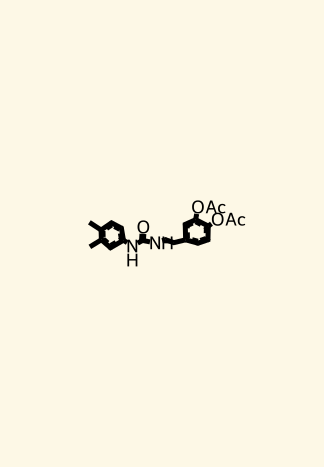 CC(=O)Oc1ccc(CCNC(=O)Nc2ccc(C)c(C)c2)cc1OC(C)=O